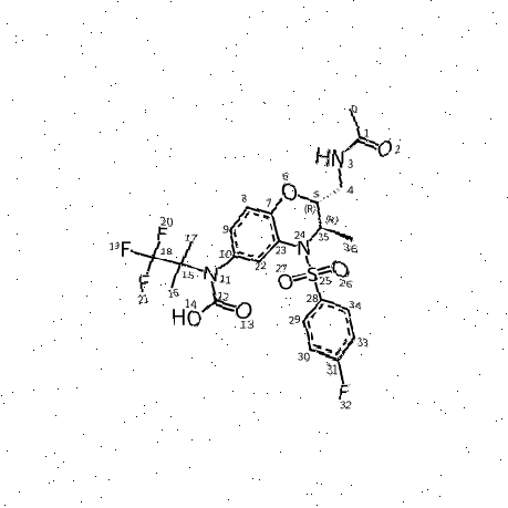 CC(=O)NC[C@H]1Oc2ccc(N(C(=O)O)C(C)(C)C(F)(F)F)cc2N(S(=O)(=O)c2ccc(F)cc2)[C@@H]1C